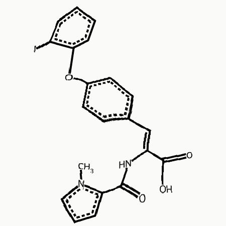 Cn1cccc1C(=O)NC(=Cc1ccc(Oc2ccccc2I)cc1)C(=O)O